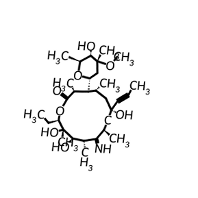 CC#C[C@@]1(O)C[C@@H](C)C(=N)[C@H](C)[C@@H](O)[C@](C)(O)[C@@H](CC)OC(=O)[C@H](C)C([C@H]2C[C@@](C)(OC)[C@@H](O)[C@H](C)O2)[C@H](C)C1